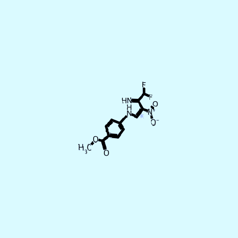 COC(=O)c1ccc(N/C=C(\C(=N)C(F)F)[N+](=O)[O-])cc1